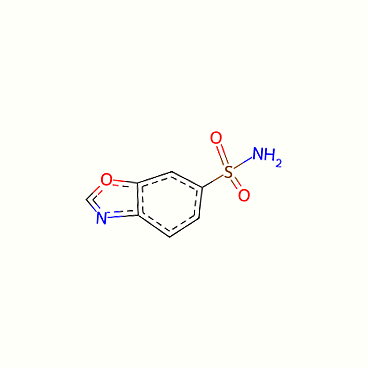 NS(=O)(=O)c1ccc2ncoc2c1